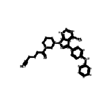 C#CCCCC(=O)N1CCC[C@@H](n2nc(-c3ccc(Oc4ccccc4)cc3)c3c(N)ncnc32)C1